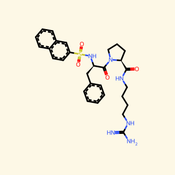 N=C(N)NCCCCNC(=O)[C@@H]1CCCN1C(=O)[C@@H](Cc1ccccc1)NS(=O)(=O)c1ccc2ccccc2c1